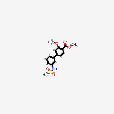 COC(=O)c1ccc(-c2cccc(NS(C)(=O)=O)c2)cc1OC